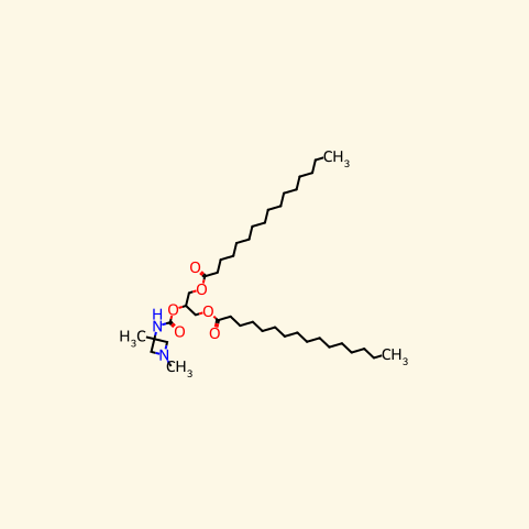 CCCCCCCCCCCCCCCC(=O)OCC(COC(=O)CCCCCCCCCCCCCCC)OC(=O)NC1(C)CN(C)C1